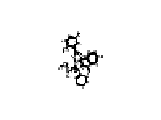 CCC(NC1=CCCCC1)C1(c2ccccc2)SC(c2cc(F)ccc2F)=NN1C(=O)N(C)OC